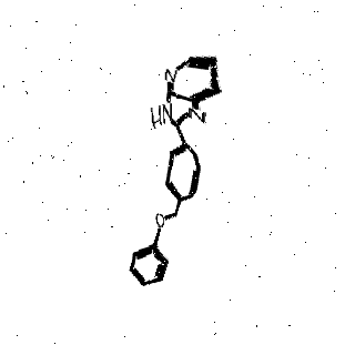 c1ccc(OCc2ccc(-c3nc4cccnc4[nH]3)cc2)cc1